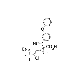 CCSC(F)(F)C(Cl)=CC1C(C)(C)C1(C(=O)O)C(C#N)c1cccc(Oc2ccccc2)c1